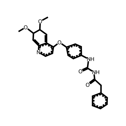 COC1C=c2nccc(Oc3ccc(NC(=O)NC(=O)Cc4ccccc4)cc3)c2=CC1OC